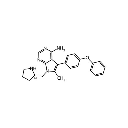 Cc1c(-c2ccc(Oc3ccccc3)cc2)c2c(N)ncnc2n1C[C@@H]1CCCN1